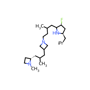 CC(C)C[C@@H]1C[C@H](F)C(CC(C)CCN2CC(CC(C)C[C@H]3CCN3C)C2)N1